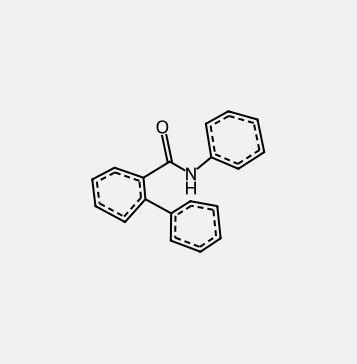 O=C(Nc1ccccc1)c1ccccc1-c1ccccc1